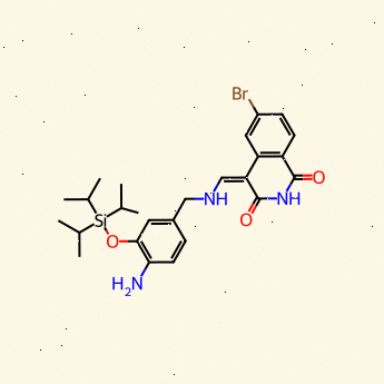 CC(C)[Si](Oc1cc(CNC=C2C(=O)NC(=O)c3ccc(Br)cc32)ccc1N)(C(C)C)C(C)C